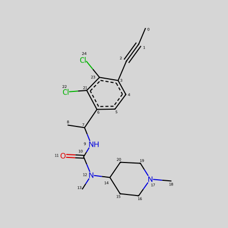 CC#Cc1ccc(C(C)NC(=O)N(C)C2CCN(C)CC2)c(Cl)c1Cl